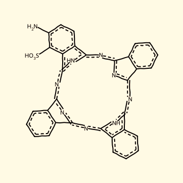 Nc1ccc2c3nc4nc(nc5[nH]c(nc6nc(nc([nH]3)c2c1S(=O)(=O)O)-c1ccccc1-6)c1ccccc51)-c1ccccc1-4